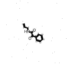 C=CCNC(=O)C(=O)c1ccccc1